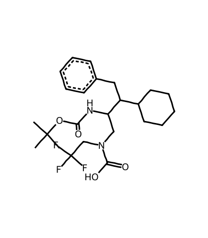 CC(C)(C)OC(=O)NC(CN(CC(F)(F)F)C(=O)O)C(Cc1ccccc1)C1CCCCC1